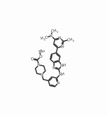 Cc1nc(-c2ccc3nc(Nc4cc(CN5CCN(C(=O)OC(C)(C)C)CC5)ccn4)[nH]c3c2)cc(N(C)C)n1